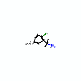 COc1ccc(F)c(C(C)(C)N)c1